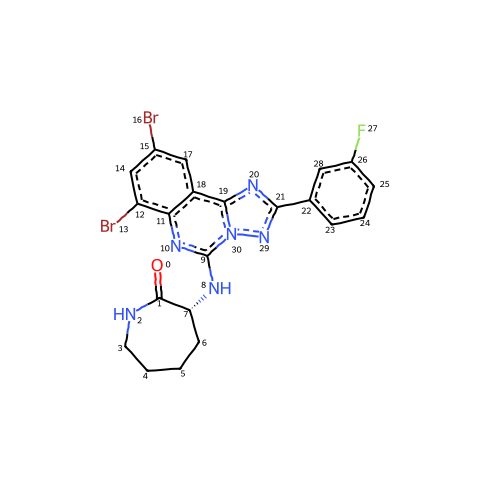 O=C1NCCCC[C@H]1Nc1nc2c(Br)cc(Br)cc2c2nc(-c3cccc(F)c3)nn12